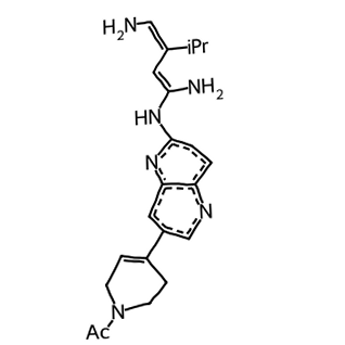 CC(=O)N1CC=C(c2cnc3ccc(N/C(N)=C/C(=C\N)C(C)C)nc3c2)CC1